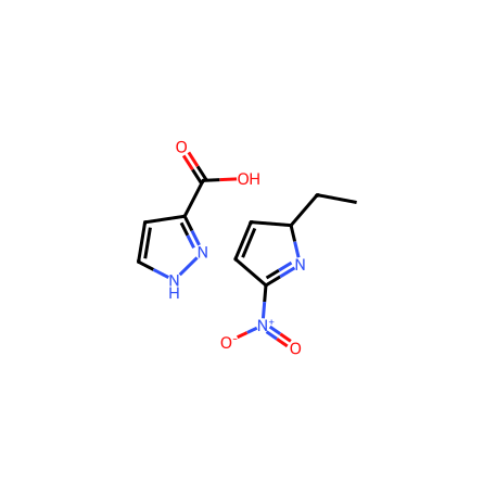 CCC1C=CC([N+](=O)[O-])=N1.O=C(O)c1cc[nH]n1